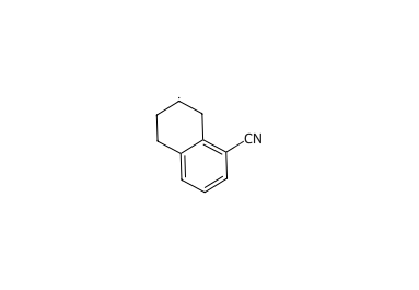 N#Cc1cccc2c1C[CH]CC2